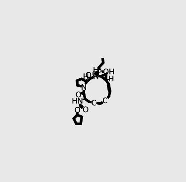 CCCP(=O)(O)[C@@]12C[C@H]1/C=C\CCCCC[C@H](NC(=O)OC1CCCC1)C(=O)N1CCC[C@H]1C(=O)N2